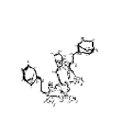 C[Si](C)(CCC1CC2C=CC1C2)O[Si](C)(C)O[Si](C)(CCC1CC2C=CC1C2)O[Si](C)(C)CCC1CC2C=CC1C2